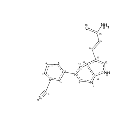 N#Cc1cccc(-c2cnc3[nH]cc(/C=C/C(N)=O)c3c2)c1